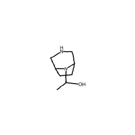 CC(O)N1C2CCC1CNC2